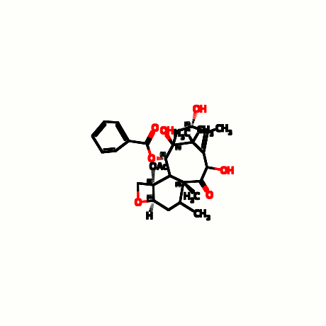 CC(=O)O[C@@]12CO[C@@H]1CC(C)[C@@]1(C)C(=O)C(O)C3=C(C)[C@@H](O)C[C@@](O)([C@@H](OC(=O)c4ccccc4)C12)C3(C)C